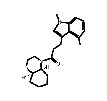 Cc1cccc2c1c(CCC(=O)N1CCO[C@@H]3CCCC[C@@H]31)cn2C